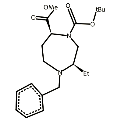 CC[C@@H]1CN(C(=O)OC(C)(C)C)[C@H](C(=O)OC)CCN1Cc1ccccc1